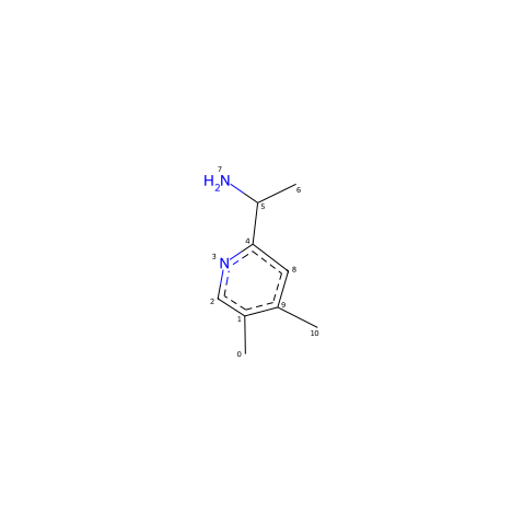 Cc1cnc(C(C)N)cc1C